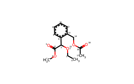 CCOC(C(=O)OC)c1ccccc1COC(C)=O